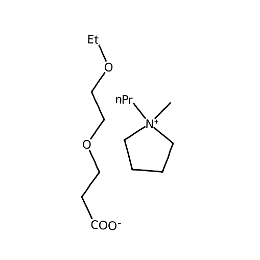 CCC[N+]1(C)CCCC1.CCOCCOCCC(=O)[O-]